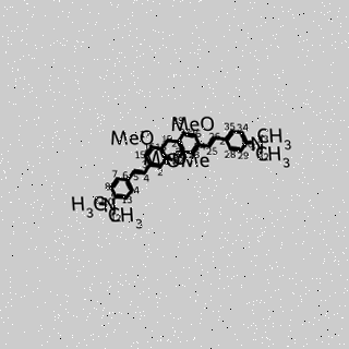 COc1cc(/C=C/c2ccc(N(C)C)cc2)cc(OC)c1Cc1c(OC)cc(/C=C/c2ccc(N(C)C)cc2)cc1OC